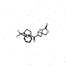 O=C1NC2(CO1)CC(C(=O)N1CCC3(c4ccccc4)C(C1)C3(F)F)C2